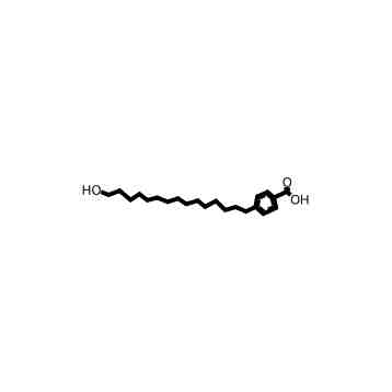 O=C(O)c1ccc(CCCCCCCCCCCCCCCO)cc1